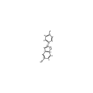 Cc1ccc(-c2cc3cc(F)ccc3o2)cc1